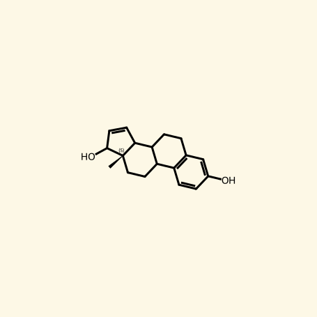 C[C@]12CCC3c4ccc(O)cc4CCC3C1C=CC2O